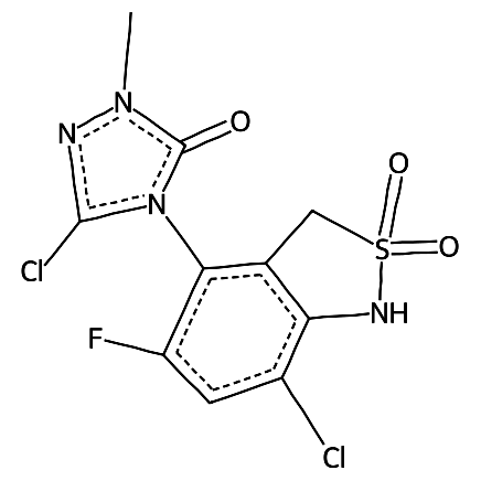 Cn1nc(Cl)n(-c2c(F)cc(Cl)c3c2CS(=O)(=O)N3)c1=O